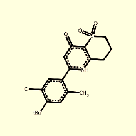 Cc1cc(C(C)(C)C)c(Cl)cc1-c1cc(=O)c2c([nH]1)CCCS2(=O)=O